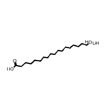 O=C(O)CCCCCCCCCCCCCCCCCO.[LiH]